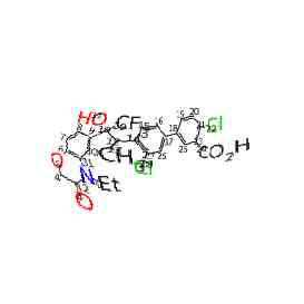 CCN1C(=O)COc2ccc(C(O)(C(C)c3ccc(-c4ccc(Cl)c(C(=O)O)c4)cc3Cl)C(F)(F)F)cc21